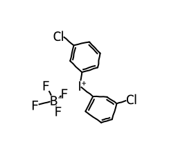 Clc1cccc([I+]c2cccc(Cl)c2)c1.F[B-](F)(F)F